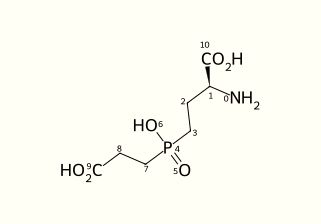 N[C@@H](CCP(=O)(O)CCC(=O)O)C(=O)O